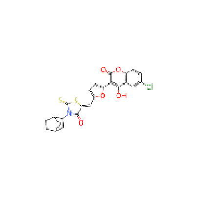 O=C1/C(=C/c2ccc(-c3c(O)c4cc(Cl)ccc4oc3=O)o2)SC(=S)N1C1CC2CCC1C2